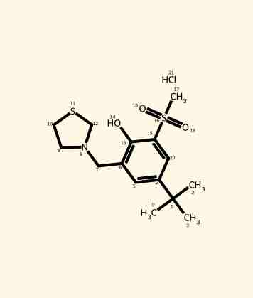 CC(C)(C)c1cc(CN2CCSC2)c(O)c(S(C)(=O)=O)c1.Cl